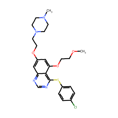 COCCOc1cc(OCCN2CCN(C)CC2)cc2ncnc(Sc3ccc(Cl)cc3)c12